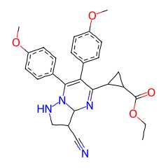 CCOC(=O)C1CC1C1=NC2C(C#N)CNN2C(c2ccc(OC)cc2)=C1c1ccc(OC)cc1